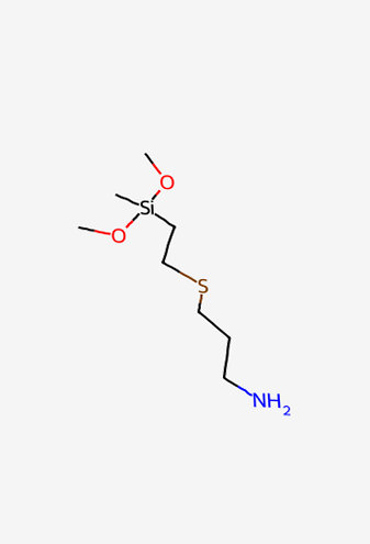 CO[Si](C)(CCSCCCN)OC